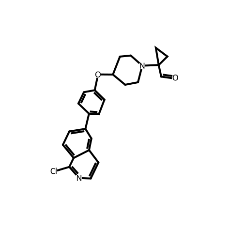 O=CC1(N2CCC(Oc3ccc(-c4ccc5c(Cl)nccc5c4)cc3)CC2)CC1